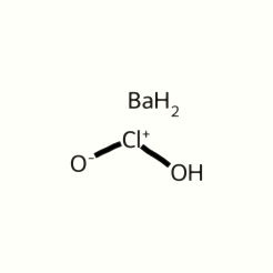 [BaH2].[O-][Cl+]O